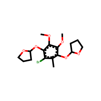 COc1c(OC2CCCO2)c(C)c(Br)c(OC2CCCO2)c1OC